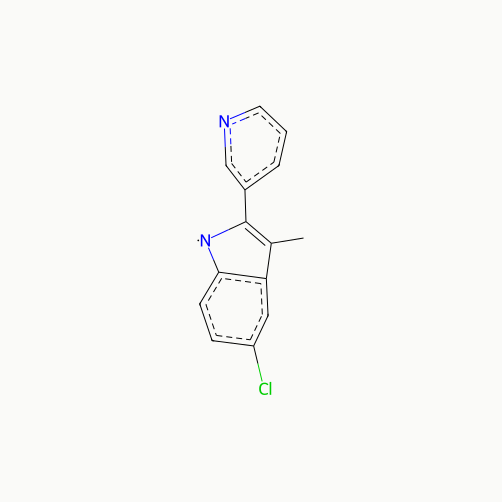 CC1=C(c2cccnc2)[N]c2ccc(Cl)cc21